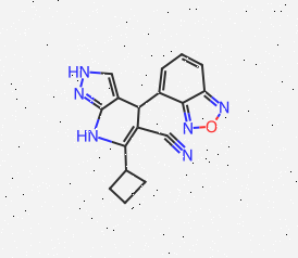 N#CC1=C(C2CCC2)Nc2n[nH]cc2C1c1cccc2nonc12